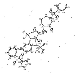 CC(C)(F)C[C@H](N[C@@H](c1ccc(-c2ccccc2S(=O)(=O)n2cccc2)cc1)C(F)(F)F)C(=O)NC1CCCN(S(=O)(=O)c2ccccn2)CC1=O